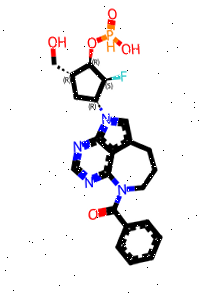 O=C(c1ccccc1)N1CCCc2cn([C@@H]3C[C@H](CO)[C@@H](O[PH](=O)O)[C@H]3F)c3ncnc1c23